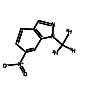 [2H]C([2H])([2H])n1ncc2ccc([N+](=O)[O-])cc21